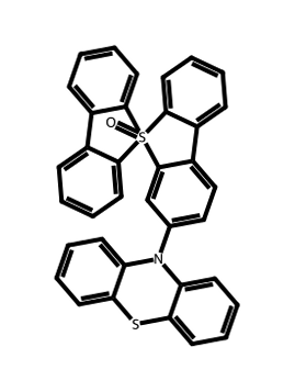 O=S12(c3ccccc3-c3ccccc31)c1ccccc1-c1ccc(N3c4ccccc4Sc4ccccc43)cc12